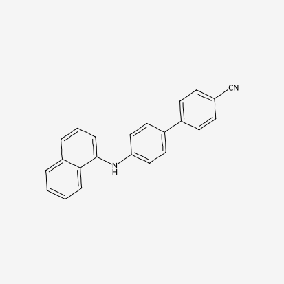 N#Cc1ccc(-c2ccc(Nc3cccc4ccccc34)cc2)cc1